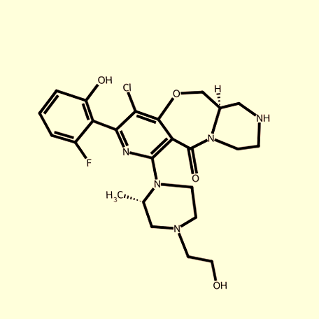 C[C@H]1CN(CCO)CCN1c1nc(-c2c(O)cccc2F)c(Cl)c2c1C(=O)N1CCNC[C@@H]1CO2